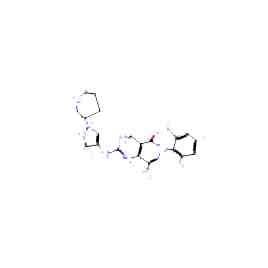 O=c1c2cnc(Nc3cnn(C4CCCNC4)c3)nc2c(Br)cn1-c1c(Cl)cccc1Cl